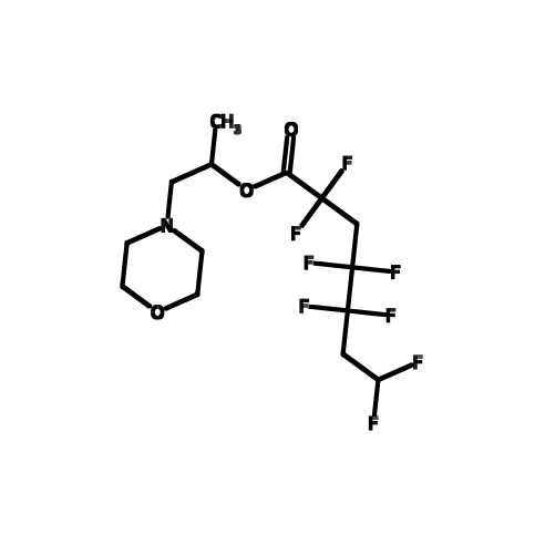 CC(CN1CCOCC1)OC(=O)C(F)(F)CC(F)(F)C(F)(F)CC(F)F